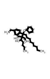 CCCCCCCCCC(Oc1ccccc1)(c1ccc(CN)cc1)C(CO)(CO)C(O)CCCC